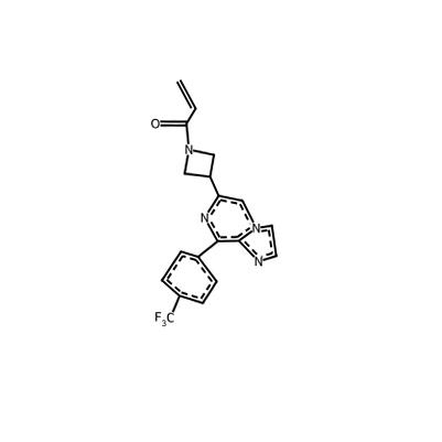 C=CC(=O)N1CC(c2cn3ccnc3c(-c3ccc(C(F)(F)F)cc3)n2)C1